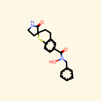 O=C(c1ccc2c(c1)CCC1(CCNC1=O)S2)N(O)Cc1ccccc1